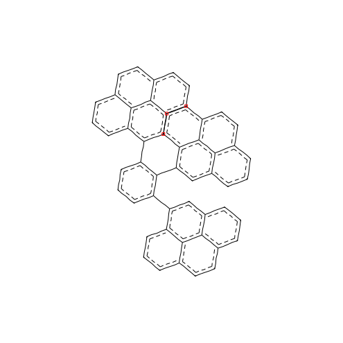 c1cc(-c2cc3cccc4ccc5cccc2c5c43)c(-c2cc3cccc4ccc5cccc2c5c43)c(-c2cc3cccc4ccc5cccc2c5c43)c1